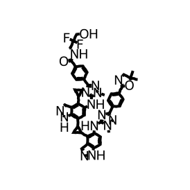 Cn1nc(-c2ccc(C3=NCC(C)(C)O3)cc2)nc1Nc1ccc2[nH]ncc2c1C1CC1c1cc(Nc2nc(-c3ccc(C(=O)NCC(F)(F)CO)cc3)nn2C)c(C2CC2)c2cn[nH]c12